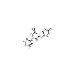 Cc1ccc(CC2CC(=O)C=C(c3ccccc3)C2)cc1